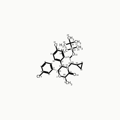 C[C@H]1O[C@H](c2cccc(Cl)c2)[C@@H](c2ccc(Cl)cc2)N([C@H](CO[Si](C)(C)C(C)(C)C)C2CC2)C1=O